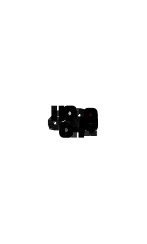 CCC1[C@@H]2[C@@H](/C=C/[C@@H](O)C3CCCCC3)[C@H](O)CC[C@]2(C)C12OCCO2